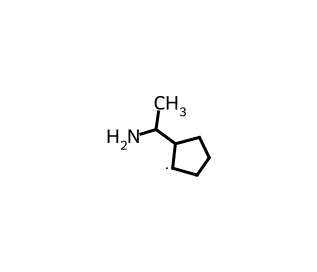 CC(N)C1[CH]CCC1